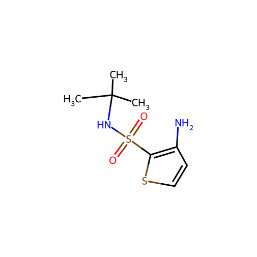 CC(C)(C)NS(=O)(=O)c1sccc1N